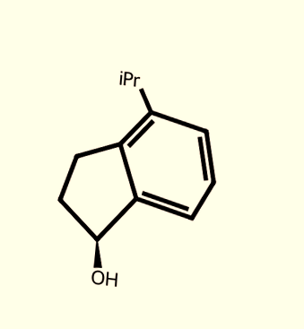 CC(C)c1cccc2c1CC[C@@H]2O